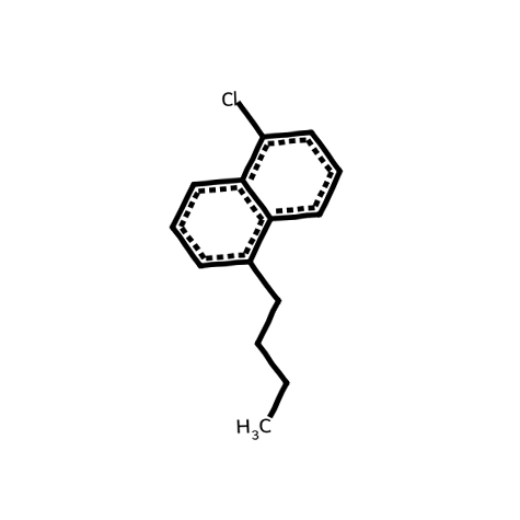 CCCCc1cccc2c(Cl)cccc12